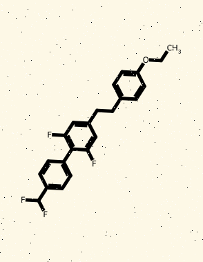 CCOc1ccc(CCc2cc(F)c(-c3ccc(C(F)F)cc3)c(F)c2)cc1